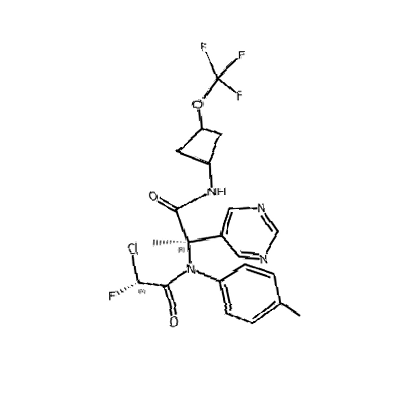 Cc1ccc(N(C(=O)[C@H](F)Cl)[C@@](C)(C(=O)NC2CC(OC(F)(F)F)C2)c2cncnc2)cc1